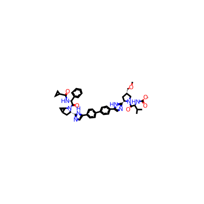 COC[C@H]1C[C@@H](c2ncc(-c3ccc(-c4ccc(-c5cnc([C@@H]6CC7C=C7N6C(=O)[C@H](NC(=O)C6CC6)c6ccccc6)[nH]5)cc4)cc3)[nH]2)N(C(=O)[C@@H](NC(=O)OC)C(C)C)C1